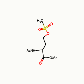 COC(=O)[C@H](CCOS(C)(=O)=O)NC(C)=O